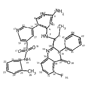 CCC(Nc1nc(N)ncc1-c1cncc(S(=O)(=O)Nc2ccccc2C)c1)c1nc2cccc(F)c2c(=O)n1-c1ccccc1